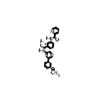 COc1cccc(-c2cncc(N[C@@H](C)c3cccc(NC(=O)c4ccccn4)c3)n2)c1